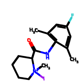 Cc1cc(F)cc(C)c1NC(=O)C1CCCC[N+]1(C)I